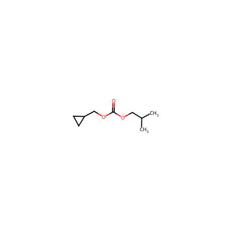 CC(C)COC(=O)OCC1CC1